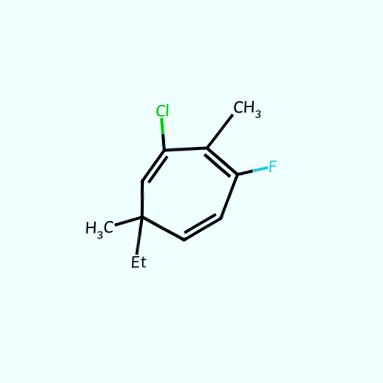 CCC1(C)C=CC(F)=C(C)C(Cl)=C1